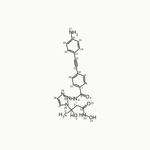 CC(O)([C@H](NC(=O)c1ccc(C#Cc2ccc(N)cc2)cc1)C(=O)NO)n1ccnn1